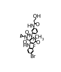 Cn1c(=O)cc(Nc2ccc(Br)cc2F)c2c(=O)n(C3CC3)c(=O)n(-c3cccc(NC(=O)CCO)c3)c21